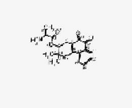 CC(N)C(=O)OC1CC2=C(OC1(C)C)c1ccccc1C(=O)C2=O